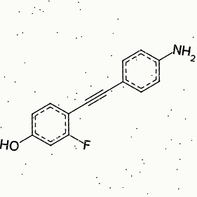 Nc1ccc(C#Cc2ccc(O)cc2F)cc1